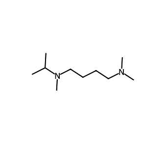 CC(C)N(C)CCCCN(C)C